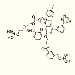 COc1ccccc1Oc1c(OCCOC(=O)c2cccc(CON(O)O)c2)nc(-c2ccnc(-c3nnn[nH]3)c2)nc1N(COC(=O)OCCOCCON(O)O)S(=O)(=O)c1ccc(C)cn1